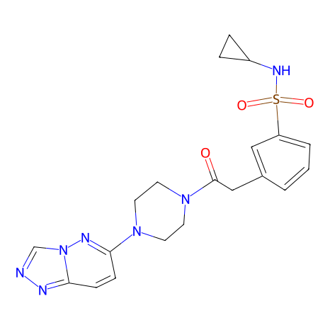 O=C(Cc1cccc(S(=O)(=O)NC2CC2)c1)N1CCN(c2ccc3nncn3n2)CC1